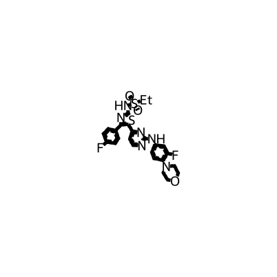 CCS(=O)(=O)Nc1nc(-c2ccc(F)cc2)c(-c2ccnc(Nc3ccc(N4CCOCC4)c(F)c3)n2)s1